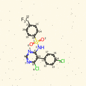 O=S(=O)(Nc1ncnc(Cl)c1-c1ccc(Cl)cc1)c1ccc(C(F)(F)F)cc1